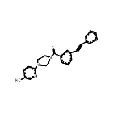 N#Cc1ccc(N2CCN(C(=O)c3cccc(C#Cc4ccccc4)c3)CC2)nc1